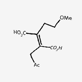 COCC/C(C(=O)O)=C(/CC(C)=O)C(=O)O